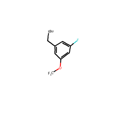 CC(C)(C)Cc1cc(F)cc(OC(F)(F)F)c1